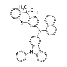 CC1(C)c2ccccc2Sc2cc(N(c3ccc4c(c3)c3ccccc3n4-c3ccccc3)c3cccc4ccccc34)ccc21